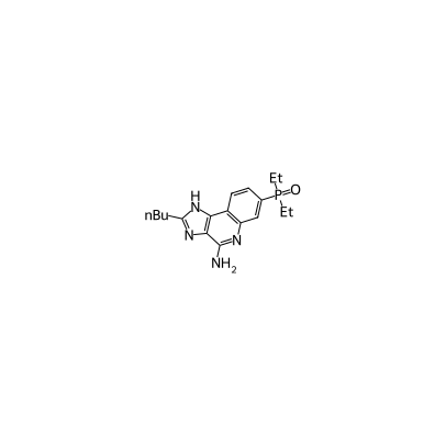 CCCCc1nc2c(N)nc3cc(P(=O)(CC)CC)ccc3c2[nH]1